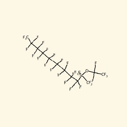 FC(F)(F)C(F)(F)O[Si](C(F)(F)F)(C(F)(F)F)C(F)(F)C(F)(F)C(F)(F)C(F)(F)C(F)(F)C(F)(F)C(F)(F)C(F)(F)C(F)(F)F